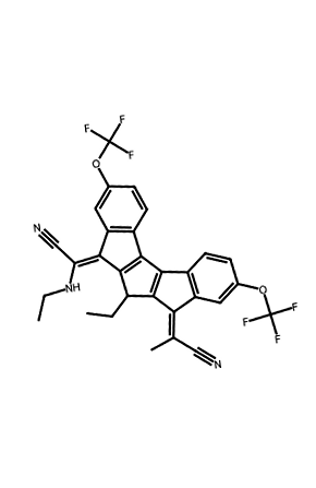 CCN/C(C#N)=C1\C2=C(C3=C(/C(=C(\C)C#N)c4cc(OC(F)(F)F)ccc43)C2CC)c2ccc(OC(F)(F)F)cc21